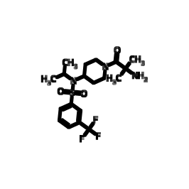 CC(C)N(C1CCN(C(=O)C(C)(C)N)CC1)S(=O)(=O)c1cccc(C(F)(F)F)c1